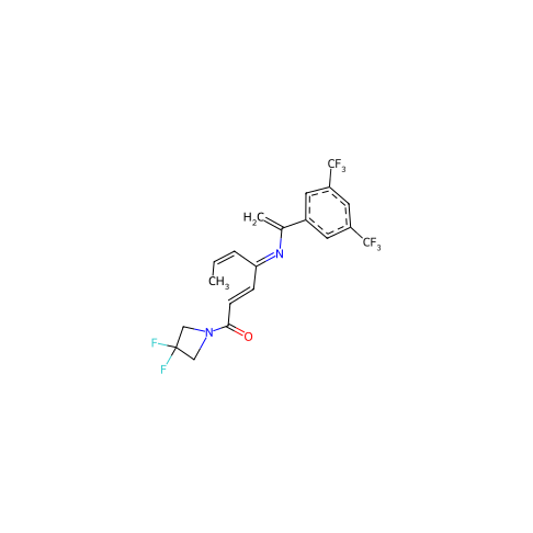 C=C(/N=C(\C=C/C)/C=C/C(=O)N1CC(F)(F)C1)c1cc(C(F)(F)F)cc(C(F)(F)F)c1